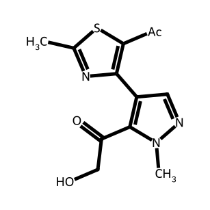 CC(=O)c1sc(C)nc1-c1cnn(C)c1C(=O)CO